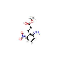 COC(=O)CCc1c(N)cccc1[N+](=O)[O-]